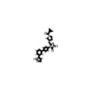 O=C(C1CC1)N1CC[C@@H](Cc2n[nH]c(=O)n2-c2ccc(-c3cccc(-c4ccn[nH]4)c3)cc2)C1